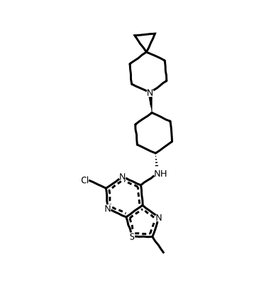 Cc1nc2c(N[C@H]3CC[C@H](N4CCC5(CC4)CC5)CC3)nc(Cl)nc2s1